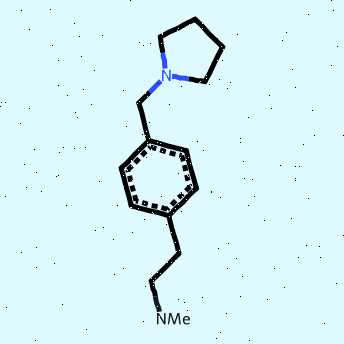 CNCCc1ccc(CN2CCCC2)cc1